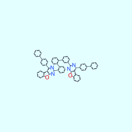 c1ccc(-c2ccc(-c3nc(-c4cccc(-c5ccccc5-c5ccccc5-c5nc(-c6ccc(-c7ccccc7)cc6)c6c(n5)oc5ccccc56)c4)nc4oc5ccccc5c34)cc2)cc1